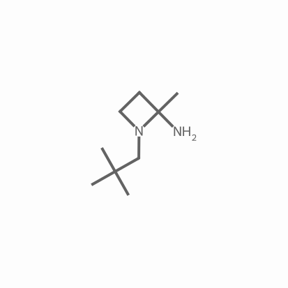 CC(C)(C)CN1CCC1(C)N